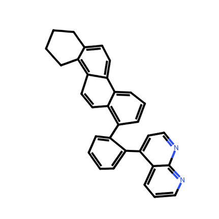 c1ccc(-c2cccc3c2ccc2c4c(ccc23)CCCC4)c(-c2ccnc3ncccc23)c1